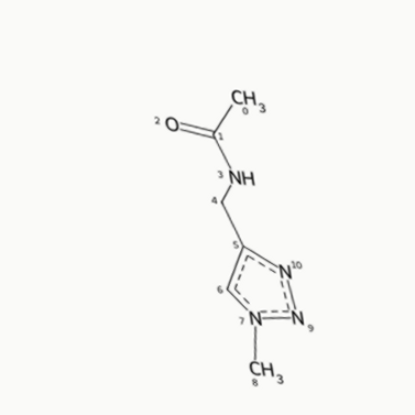 CC(=O)NCc1cn(C)nn1